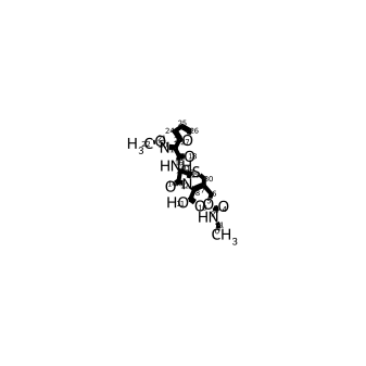 CCNC(=O)OCC1=C(C(=O)O)N2C(=O)[C@@H](NC(=O)C(=NOC)c3ccco3)[C@H]2SC1